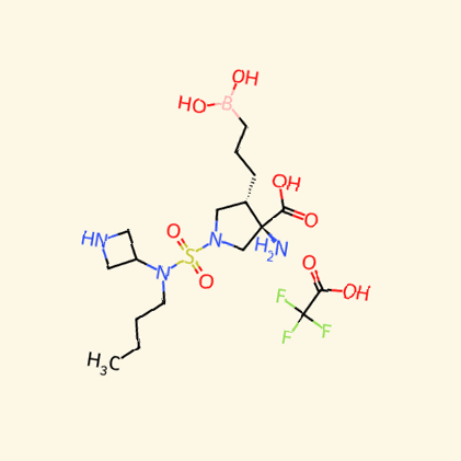 CCCCN(C1CNC1)S(=O)(=O)N1C[C@H](CCCB(O)O)[C@](N)(C(=O)O)C1.O=C(O)C(F)(F)F